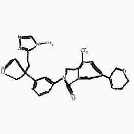 Cn1cnnc1CC1(c2cccc(N3Cc4c(cc(C5=CCCOC5)cc4C(F)(F)F)C3=O)c2)COC1